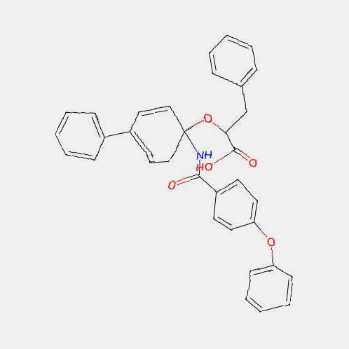 O=C(NC1(OC(Cc2ccccc2)C(=O)O)C=CC(c2ccccc2)=CC1)c1ccc(Oc2ccccc2)cc1